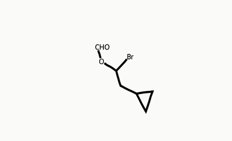 O=COC(Br)CC1CC1